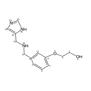 OCCOc1cccc(CNCc2cnc[nH]2)c1